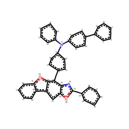 c1ccc(-c2ccc(N(c3ccccc3)c3ccc(-c4c5nc(-c6ccccc6)oc5cc5c4oc4ccccc45)cc3)cc2)cc1